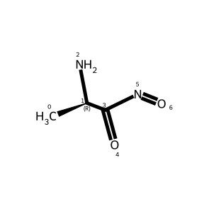 C[C@@H](N)C(=O)N=O